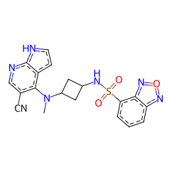 CN(c1c(C#N)cnc2[nH]ccc12)C1CC(NS(=O)(=O)c2cccc3nonc23)C1